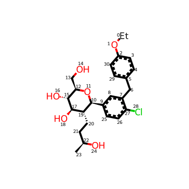 CCOc1ccc(Cc2cc([C@@H]3O[C@H](CO)[C@@H](O)[C@H](O)[C@H]3CC[C@H](C)O)ccc2Cl)cc1